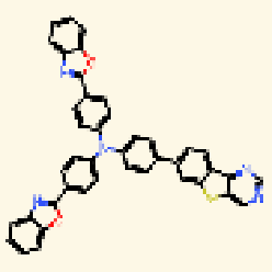 c1ccc2oc(-c3ccc(N(c4ccc(-c5ccc6c(c5)sc5cncnc56)cc4)c4ccc(-c5nc6ccccc6o5)cc4)cc3)nc2c1